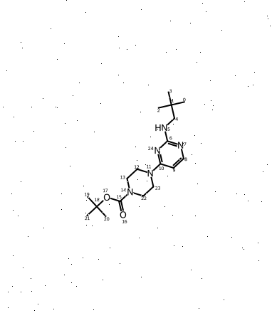 CC(C)(C)CNc1nccc(N2CCN(C(=O)OC(C)(C)C)CC2)n1